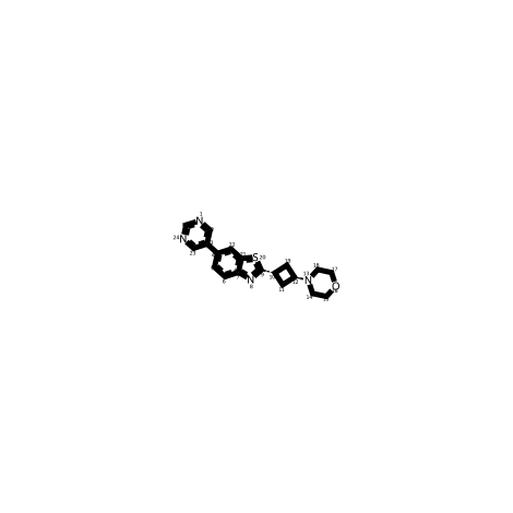 c1ncc(-c2ccc3nc([C@H]4C[C@@H](N5CCOCC5)C4)sc3c2)cn1